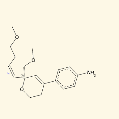 COCC/C=C\[C@@]1(COC)C=C(c2ccc(N)cc2)CCO1